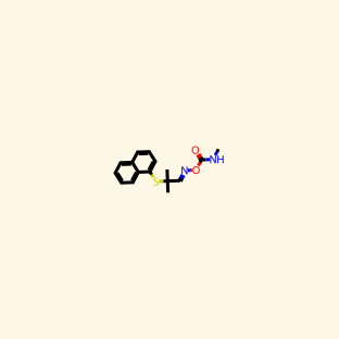 CNC(=O)ON=CC(C)(C)Sc1cccc2ccccc12